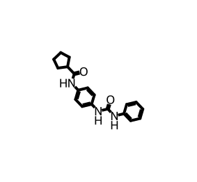 O=C(Nc1ccccc1)Nc1ccc(NC(=O)C2CCCC2)cc1